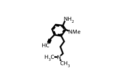 C#Cc1ccc(N)c(NC)c1CCCN(C)C